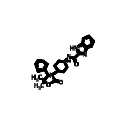 CC1(C)OC(=O)N(C2CCC(NC(=O)c3nc4ccccc4[nH]3)CC2)C1c1ccccc1